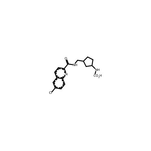 O=C(O)NC1CCC(CNC(=O)c2ccc3cc(Cl)ccc3n2)C1